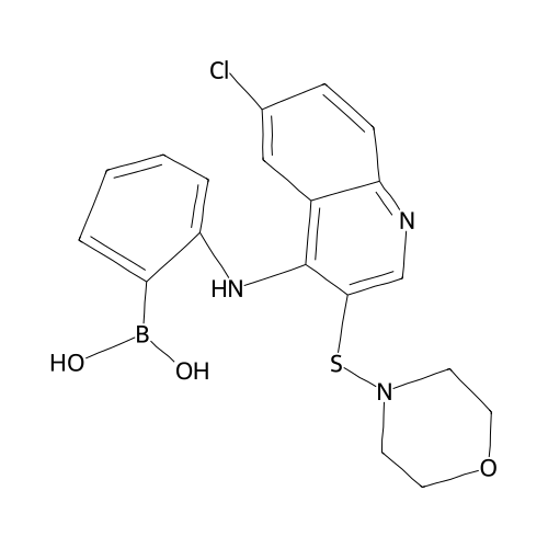 OB(O)c1ccccc1Nc1c(SN2CCOCC2)cnc2ccc(Cl)cc12